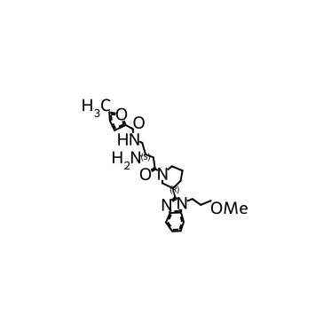 COCCCn1c([C@@H]2CCCN(C(=O)C[C@H](N)CNC(=O)c3ccc(C)o3)C2)nc2ccccc21